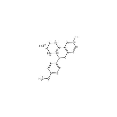 COc1ccc(C(Cc2ccc(F)cc2)C2=NNCCN2)cc1.Cl